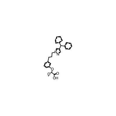 COC(Oc1cccc(CCCn2cc(C(c3ccccc3)c3ccccc3)cn2)c1)C(=O)O